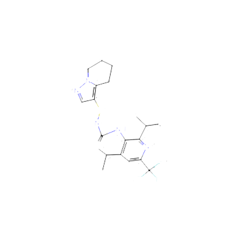 C=C(NSc1cnn2c1CCCC2)Nc1c(C(C)C)cc(C(F)(F)F)nc1C(C)C